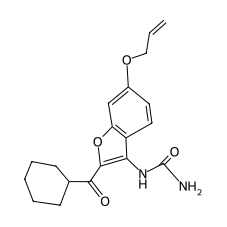 C=CCOc1ccc2c(NC(N)=O)c(C(=O)C3CCCCC3)oc2c1